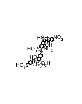 Nc1c(N=Nc2ccc3cc(S(=O)(=O)O)c(N=Nc4ccc(S(=O)(=O)O)cc4C(=O)O)c(O)c3c2)c(S(=O)(=O)O)cc2cc(S(=O)(=O)O)c(N=Nc3ccc([N+](=O)[O-])cc3S(=O)(=O)O)c(O)c12